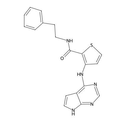 O=C(NCCc1ccccc1)c1sccc1Nc1ncnc2[nH]ccc12